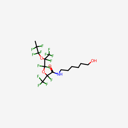 CC(F)(F)C(F)(F)OC(F)(C(F)(F)F)C(F)(F)OC(F)(C(=O)NCCCCCCO)C(F)(F)F